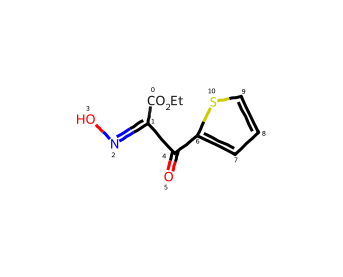 CCOC(=O)/C(=N\O)C(=O)c1cccs1